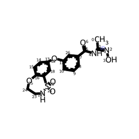 C/C(=N/O)NC(=O)c1cccc(Oc2ccc3c(c2)S(=O)(=O)NCCO3)c1